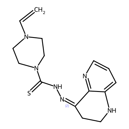 C=CN1CCN(C(=S)N/N=C2/CCNc3cccnc32)CC1